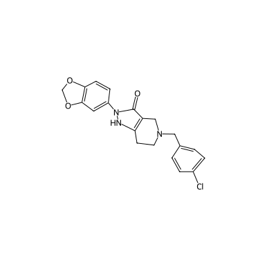 O=c1c2c([nH]n1-c1ccc3c(c1)OCO3)CCN(Cc1ccc(Cl)cc1)C2